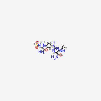 CNC(=O)C1CN(S(C)(=O)=O)CCN1c1ccc(Nc2ncc(C(N)=O)c(NC3CC3)n2)cc1